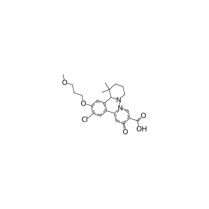 COCCCOc1cc2c(cc1Cl)-c1cc(=O)c(C(=O)O)cn1N1CCCC(C)(C)C21